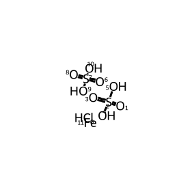 Cl.O=S(=O)(O)O.O=S(=O)(O)O.[Fe]